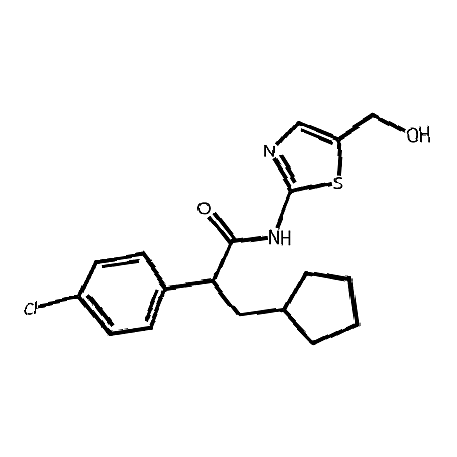 O=C(Nc1ncc(CO)s1)C(CC1CCCC1)c1ccc(Cl)cc1